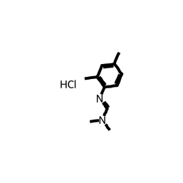 Cc1ccc(N=CN(C)C)c(C)c1.Cl